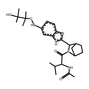 CC(=O)NC(C(=O)N1C2CCC(C2)C1c1nc2ccc(BOC(C)(C)C(C)(C)O)cc2[nH]1)C(C)C